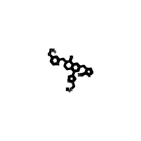 CCn1cc(-c2cc(Cn3ccsc3=N)cc3c2CCN(Cc2cc(OC)ccn2)C3=O)cn1